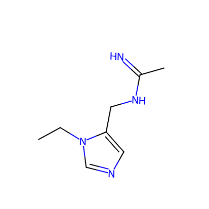 CCn1cncc1CNC(C)=N